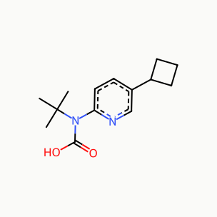 CC(C)(C)N(C(=O)O)c1ccc(C2CCC2)cn1